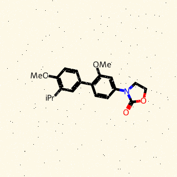 COc1cc(N2CCOC2=O)ccc1-c1ccc(OC)c(C(C)C)c1